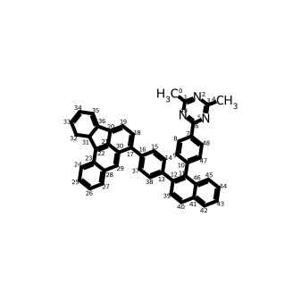 Cc1nc(C)nc(-c2ccc(-c3c(-c4ccc(-c5ccc6c7c(c8ccccc8cc57)C5CC=CC=C65)cc4)ccc4ccccc34)cc2)n1